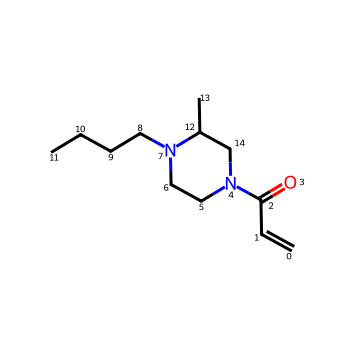 C=CC(=O)N1CCN(CCCC)C(C)C1